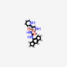 N=C/C(=C1/CCCCN1)S(=O)(=O)NC(=O)Nc1c2c(cc3c1CCC3)CCC2